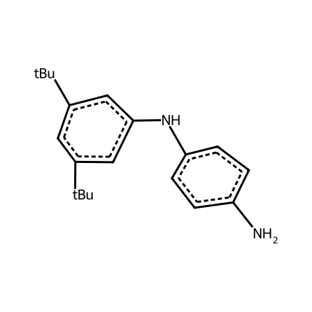 CC(C)(C)c1cc(Nc2ccc(N)cc2)cc(C(C)(C)C)c1